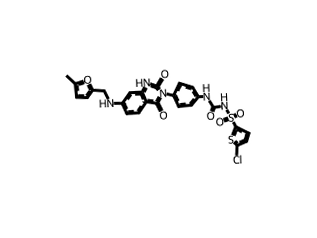 Cc1ccc(CNc2ccc3c(=O)n(-c4ccc(NC(=O)NS(=O)(=O)c5ccc(Cl)s5)cc4)c(=O)[nH]c3c2)o1